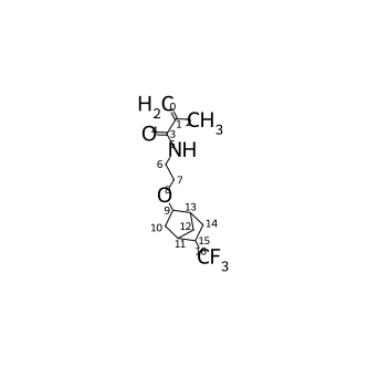 C=C(C)C(=O)NCCOC1CC2CC1CC2C(F)(F)F